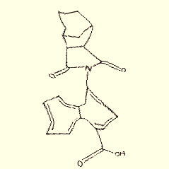 O=C(O)c1ccc(N2C(=O)C3C4CCC(C4)C3C2=O)c2ccccc12